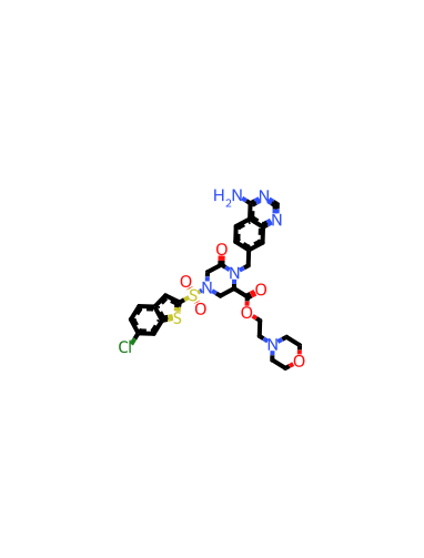 Nc1ncnc2cc(CN3C(=O)CN(S(=O)(=O)c4cc5ccc(Cl)cc5s4)CC3C(=O)OCCN3CCOCC3)ccc12